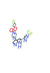 O=C(O[C@H]1C[C@H](F)C1)N1CCN(c2ccnc3[nH]c(-c4cn(C(F)F)cn4)cc23)CC1